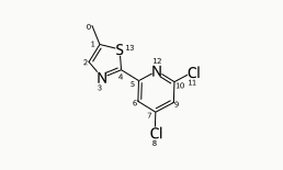 Cc1cnc(-c2cc(Cl)cc(Cl)n2)s1